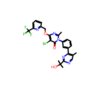 Cc1cnc(C(C)(C)O)nc1-c1cccc(-n2c(C)nc(OCc3cccc(C(F)(F)F)n3)c(Br)c2=O)c1